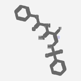 N=C(NC(=O)Oc1ccccc1)/C(F)=C\NS(=O)(=O)c1ccccc1